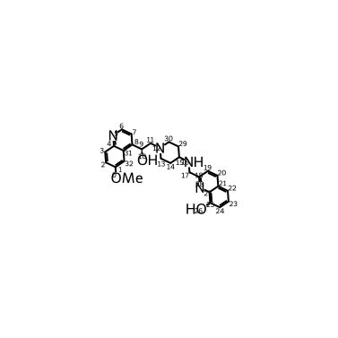 COc1ccc2nccc([C@H](O)CN3CCC(NCc4ccc5cccc(O)c5n4)CC3)c2c1